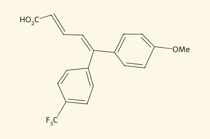 COc1ccc(C(=CC=CC(=O)O)c2ccc(C(F)(F)F)cc2)cc1